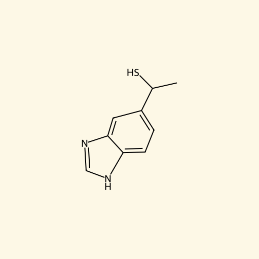 CC(S)c1ccc2[nH]cnc2c1